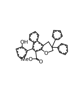 COC(=O)c1c2c(c3ccccc3c1-c1ccccc1O)CC(c1ccccc1)(c1ccccc1)CO2